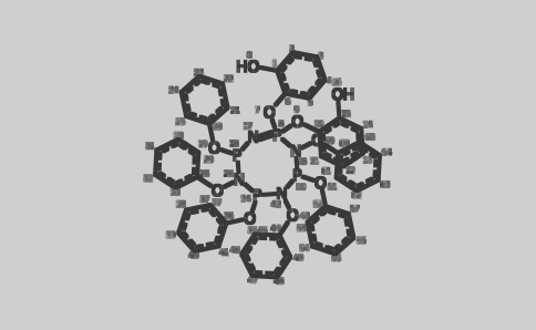 Oc1ccccc1OP1(Oc2ccccc2O)=NP(Oc2ccccc2)N(Oc2ccccc2)P(Oc2ccccc2)N(Oc2ccccc2)P(Oc2ccccc2)N1Oc1ccccc1